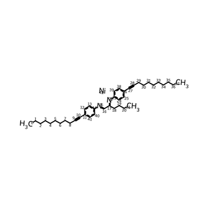 CCCCCCCCCC#Cc1ccc(N=CC(CCCC)=Nc2ccc(C#CCCCCCCCCC)cc2)cc1.[Ni]